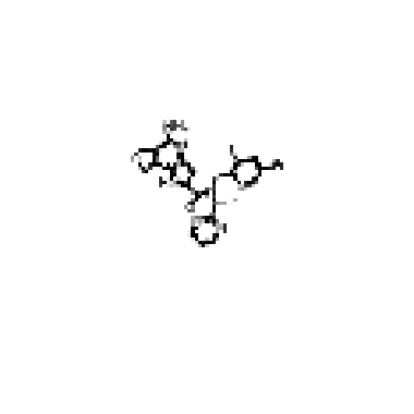 C[C@H](c1ncccn1)N(Cc1ncc(Br)cc1F)C(=O)c1cc2nc(N)c3c(c2[nH]1)COC3